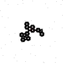 c1ccc(-c2c(C(c3ccc(-c4ccc5sc6ccccc6c5c4)cc3)c3ccc4c(c3)-c3ccccc3C43c4ccccc4-c4ccccc43)ccc3ccccc23)cc1